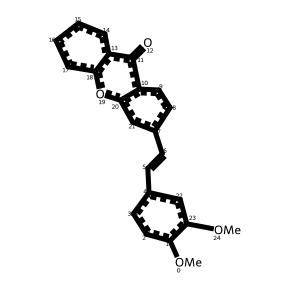 COc1ccc(C=Cc2ccc3c(=O)c4ccccc4oc3c2)cc1OC